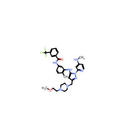 CNc1ccnc(-n2nc(CN3CCN(CCOC)CC3)cc2Nc2cc(NC(=O)c3cccc(C(F)(F)F)c3)ccc2C)c1